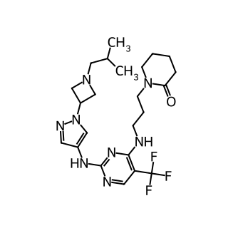 CC(C)CN1CC(n2cc(Nc3ncc(C(F)(F)F)c(NCCCN4CCCCC4=O)n3)cn2)C1